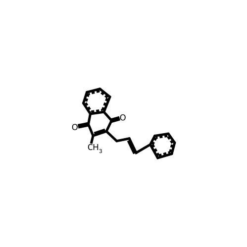 CC1=C(CC=Cc2ccccc2)C(=O)c2ccccc2C1=O